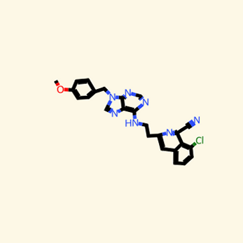 COc1ccc(Cn2cnc3c(NCCc4cc5cccc(Cl)c5c(C#N)n4)ncnc32)cc1